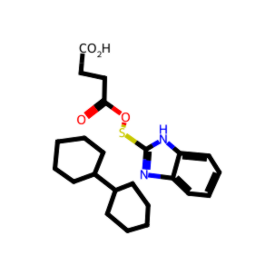 C1CCC(C2CCCCC2)CC1.O=C(O)CCC(=O)OSc1nc2ccccc2[nH]1